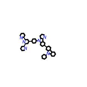 c1ccc(-n2c3ccccc3c3ccc(-c4ccc5c(c4)c4ncccc4n5-c4ccc(-c5cc(-c6ccccn6)nc(-c6ccccn6)c5)cc4)cc32)cc1